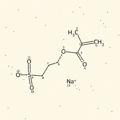 C=C(C)C(=O)OCCCS(=O)(=O)[O-].[Na+]